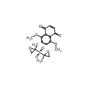 CC1(S(=O)(=O)C2(C)CO2)CO1.COc1ccc(OC)c2c1C(=O)C=CC2=O